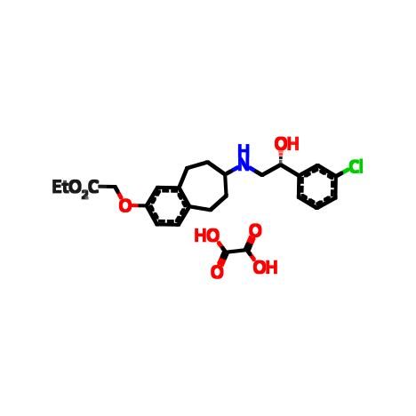 CCOC(=O)COc1ccc2c(c1)CCC(NC[C@H](O)c1cccc(Cl)c1)CC2.O=C(O)C(=O)O